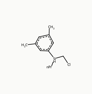 CCC[SiH](CCl)c1cc(C)cc(C)c1